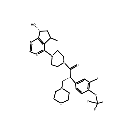 CC1C[C@@H](O)c2ncnc(N3CCN(C(=O)[C@@H](CN4CCOCC4)c4ccc(OC(F)(F)F)c(F)c4)CC3)c21